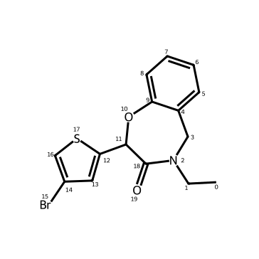 CCN1Cc2ccccc2OC(c2cc(Br)cs2)C1=O